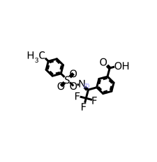 Cc1ccc(S(=O)(=O)O/N=C(/c2cccc(C(=O)O)c2)C(F)(F)F)cc1